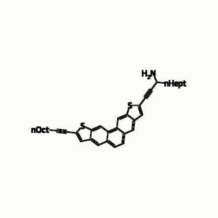 CCCCCCCCC#Cc1cc2cc3ccc4cc5cc(C#CC(N)CCCCCCC)sc5cc4c3cc2s1